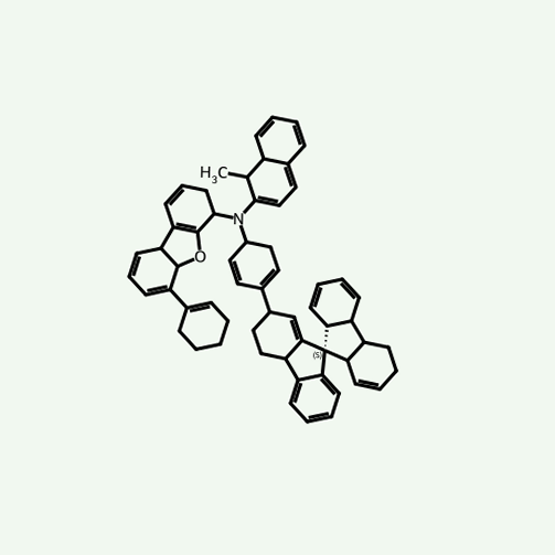 CC1C(N(C2C=CC(C3C=C4C(CC3)c3ccccc3[C@@]43C4C=CC=CC4C4CCC=CC43)=CC2)C2CC=CC3=C2OC2C(C4=CCCCC4)=CC=CC32)=CC=C2C=CC=CC21